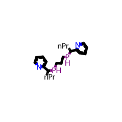 CCCC(PCCCPC(CCC)c1ccccn1)c1ccccn1